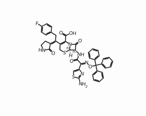 Nc1nc(C(=NOC(c2ccccc2)(c2ccccc2)c2ccccc2)C(=O)N[C@@H]2C(=O)N3C(C(=O)O)=C(C(Cc4ccc(F)cc4)=C4CCNC4=O)CS[C@H]23)cs1